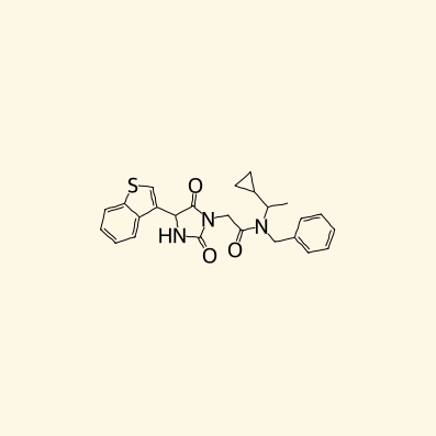 CC(C1CC1)N(Cc1ccccc1)C(=O)CN1C(=O)NC(c2csc3ccccc23)C1=O